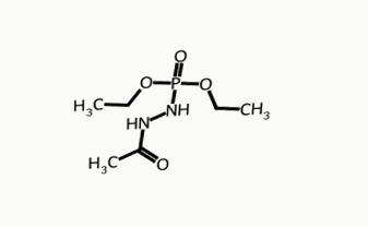 CCOP(=O)(NNC(C)=O)OCC